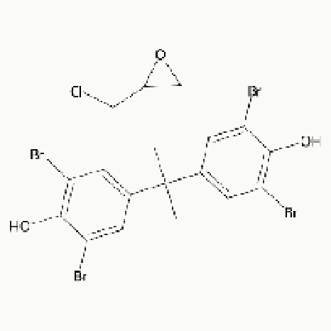 CC(C)(c1cc(Br)c(O)c(Br)c1)c1cc(Br)c(O)c(Br)c1.ClCC1CO1